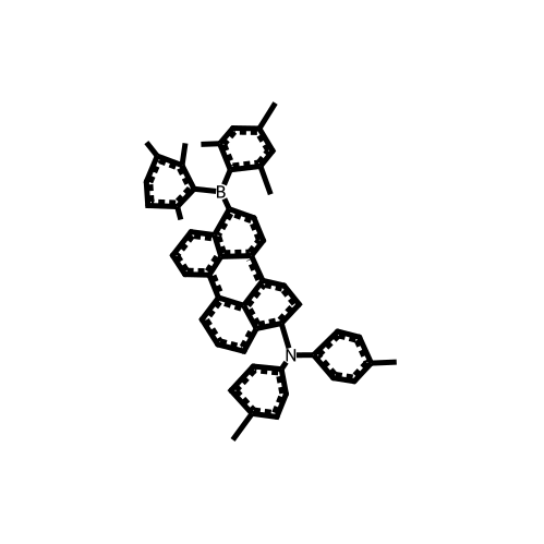 Cc1ccc(N(c2ccc(C)cc2)c2ccc3c4ccc(B(c5c(C)cc(C)cc5C)c5c(C)ccc(C)c5C)c5cccc(c6cccc2c63)c54)cc1